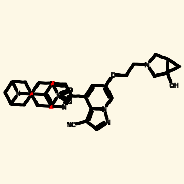 N#Cc1cnn2cc(OCCN3CC4CC4(O)C3)cc(-c3cnc(N4CC5CC(C4)N5C4CCS(=O)(=O)CC4)cn3)c12